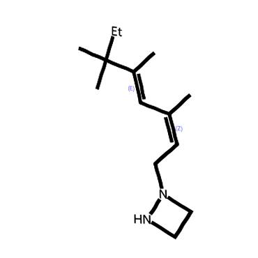 CCC(C)(C)/C(C)=C/C(C)=C\CN1CCN1